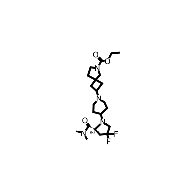 CCOC(=O)N1CCC2(CC(N3CCC(N4CC(F)(F)C[C@@H]4C(=O)N(C)C)CC3)C2)C1